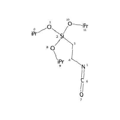 CC(C)O[Si](CCN=C=O)(OC(C)C)OC(C)C